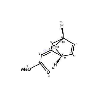 COC(=O)/C=C1/C[C@@H]2C=C[C@H]1O2